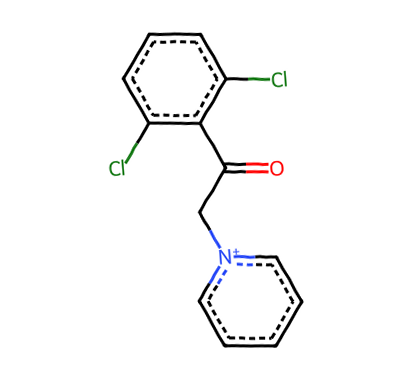 O=C(C[n+]1ccccc1)c1c(Cl)cccc1Cl